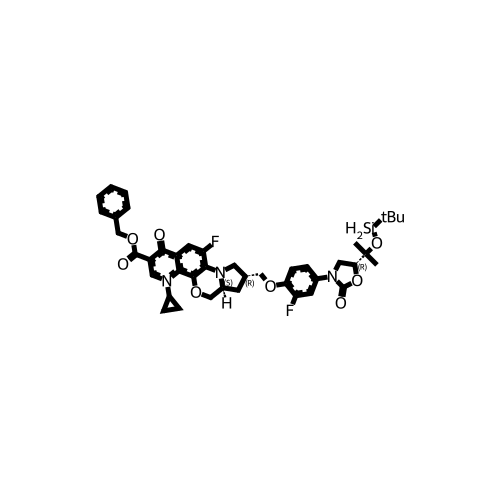 CC(C)(C)[SiH2]OC(C)(C)[C@H]1CN(c2ccc(OC[C@@H]3C[C@H]4COc5c(c(F)cc6c(=O)c(C(=O)OCc7ccccc7)cn(C7CC7)c56)N4C3)c(F)c2)C(=O)O1